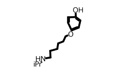 CC(C)NCCCCCCOc1ccc(O)cc1